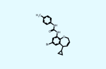 Cc1ccc(NC(=O)Nc2cc(Br)cc3c2OCC=CC3C2CC2)cc1